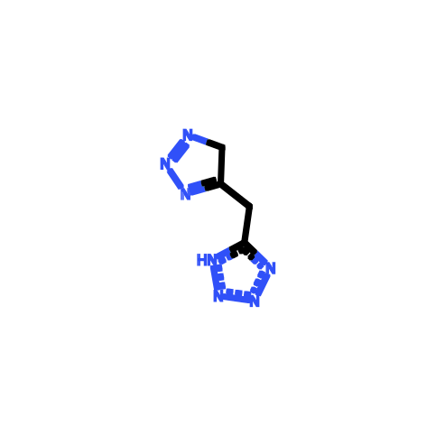 C1N=NN=C1Cc1nnn[nH]1